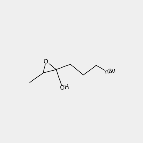 CCCCCCCC1(O)OC1C